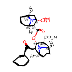 CN1[C@H]2CC[C@@H]1[C@@H](C(=O)O[C@H]1C(C(=O)c3ccccc3)[C@@H]3CC[C@H]([C@H]1C(=O)O)N3C)[C@@H](O)C2